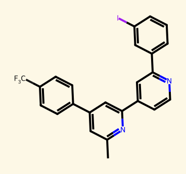 Cc1cc(-c2ccc(C(F)(F)F)cc2)cc(-c2ccnc(-c3cccc(I)c3)c2)n1